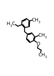 CCCOc1ccc(Cc2cc(C)ccc2CC)cc1C